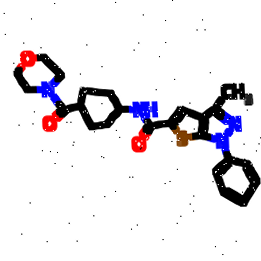 Cc1nn(-c2ccccc2)c2sc(C(=O)NC3CCC(C(=O)N4CCOCC4)CC3)cc12